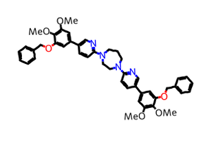 COc1cc(-c2ccc(N3CCCN(c4ccc(-c5cc(OC)c(OC)c(OCc6ccccc6)c5)cn4)CC3)nc2)cc(OCc2ccccc2)c1OC